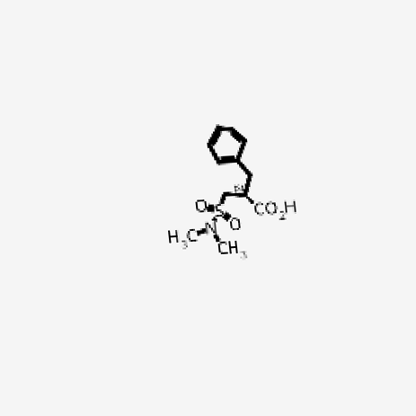 CN(C)S(=O)(=O)C[C@@H](Cc1ccccc1)C(=O)O